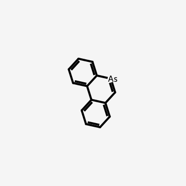 C1=[As]c2ccccc2-c2ccccc21